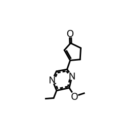 CCc1ncc(C2=CC(=O)CC2)nc1OC